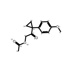 COc1ccc(C2(C(=O)COC(C)=O)CC2)cc1